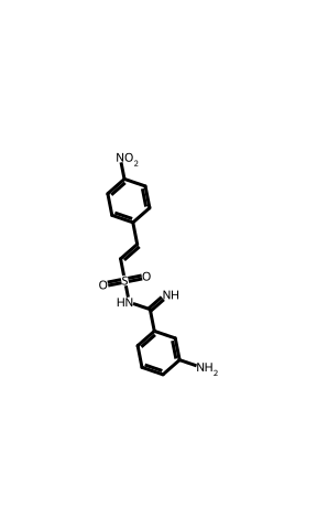 N=C(NS(=O)(=O)C=Cc1ccc([N+](=O)[O-])cc1)c1cccc(N)c1